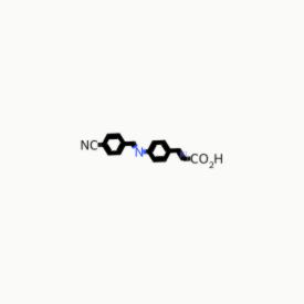 N#Cc1ccc(C=Nc2ccc(/C=C/C(=O)O)cc2)cc1